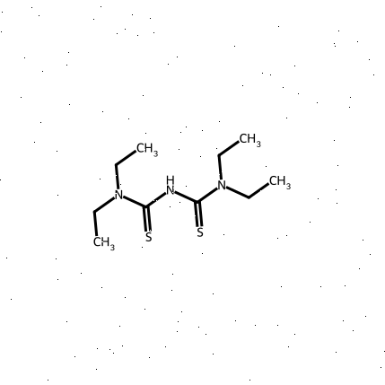 CCN(CC)C(=S)NC(=S)N(CC)CC